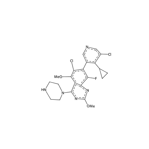 COc1nc(N2CCNCC2)c2c(OC)c(Cl)c(-c3cncc(Cl)c3C3CC3)c(F)c2n1